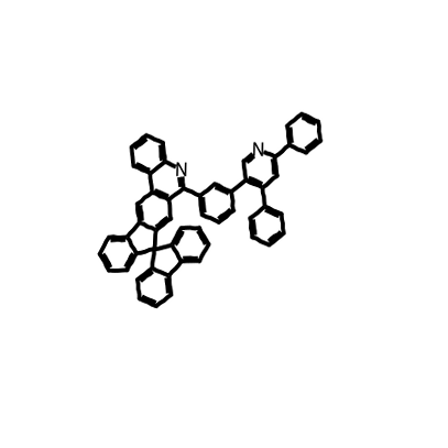 c1ccc(-c2cc(-c3ccccc3)c(-c3cccc(-c4nc5ccccc5c5cc6c(cc45)C4(c5ccccc5-c5ccccc54)c4ccccc4-6)c3)cn2)cc1